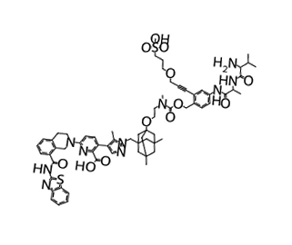 Cc1c(-c2ccc(N3CCc4cccc(C(=O)Nc5nc6ccccc6s5)c4C3)nc2C(=O)O)cnn1CC12CC3(C)CC(C)(C1)CC(OCCN(C)C(=O)OCc1ccc(NC(=O)C(C)NC(=O)C(N)C(C)C)cc1C#CCOCCCS(=O)(=O)O)(C3)C2